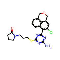 Nc1nc(SCCCN2CCCC2=O)nc(-c2c(Cl)cc3c4c(cccc24)COC3)n1